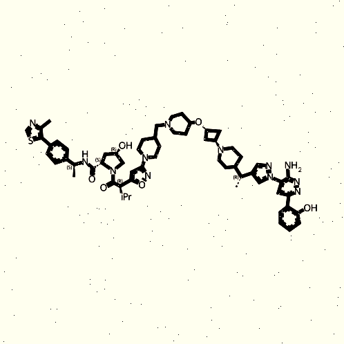 Cc1ncsc1-c1ccc([C@H](C)NC(=O)[C@@H]2C[C@@H](O)CN2C(=O)[C@@H](c2cc(N3CCC(CN4CCC(O[C@H]5C[C@H](N6CCC([C@@H](C)c7cnn(-c8cc(-c9ccccc9O)nnc8N)c7)CC6)C5)CC4)CC3)no2)C(C)C)cc1